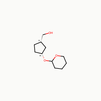 OC[C@H]1CC[C@@H](OC2CCCCO2)C1